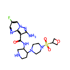 Nc1nn2cc(F)cnc2c1C(=O)NC1CNCCC1N1CCN(S(=O)(=O)C2COC2)CC1